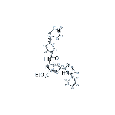 CCOC(=O)n1nc(NC(=O)c2ccc(OC3CCN(C)CC3)cc2)c2cc(C(=O)NC3(c4ccccc4)CC3)sc21